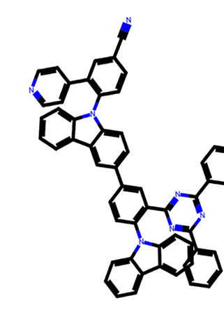 N#Cc1ccc(-n2c3ccccc3c3cc(-c4ccc(-n5c6ccccc6c6ccccc65)c(-c5nc(-c6ccccc6)nc(-c6ccccc6)n5)c4)ccc32)c(-c2ccncc2)c1